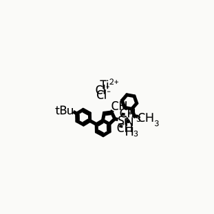 CC1=Cc2c(-c3ccc(C(C)(C)C)cc3)cccc2C1[Si](C)(C)NC(C)C1CCCCC1.[Cl-].[Cl-].[Ti+2]